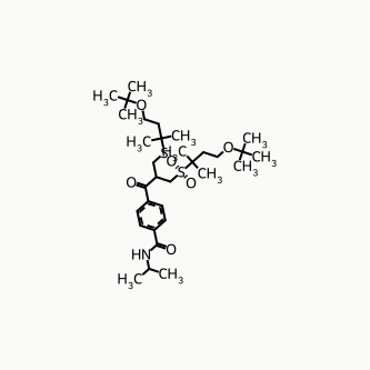 CC(C)NC(=O)c1ccc(C(=O)C(CSC(C)(C)CCOC(C)(C)C)CS(=O)(=O)C(C)(C)CCOC(C)(C)C)cc1